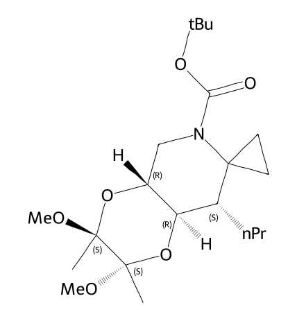 CCC[C@@H]1[C@H]2O[C@](C)(OC)[C@@](C)(OC)O[C@@H]2CN(C(=O)OC(C)(C)C)C12CC2